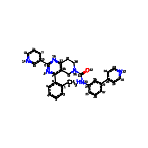 Cc1ccccc1-c1nc(-c2cccnc2)nc2c1CN(C(=O)Nc1cccc(-c3ccncc3)c1)CC2